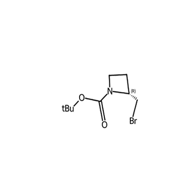 CC(C)(C)OC(=O)N1CC[C@@H]1CBr